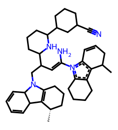 CC1CC=Cc2c1c1c(n2/C(N)=C/C(CN2C3=C(C4C=CC=CC42)[C@@H](C)CCC3)C2CCCC(C3CCCC(C#N)C3)N2)CCCC1